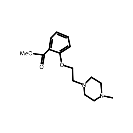 COC(=O)c1ccccc1OCCN1CCN(C)CC1